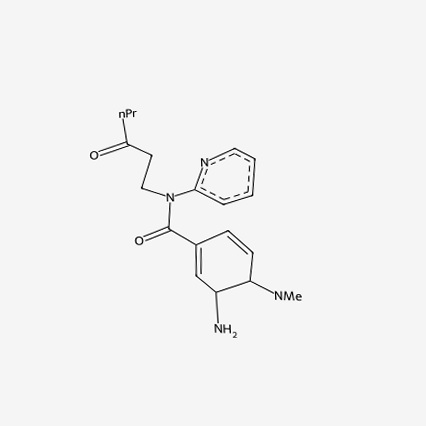 CCCC(=O)CCN(C(=O)C1=CC(N)C(NC)C=C1)c1ccccn1